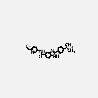 CCc1ccc(NC(=O)c2ccc3[nH]c(-c4ccc(N(C)C)cc4)nc3c2)cn1